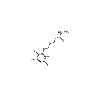 NNC(=O)CCOCOc1c(F)c(F)cc(F)c1F